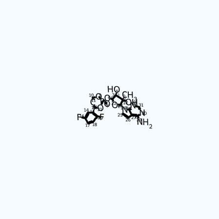 C[C@@]1(O)[C@H](O)C(OP2(=O)OCC[C@H](c3cc(F)ccc3F)O2)O[C@H]1n1ccc2c(N)ncnc21